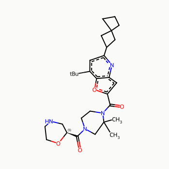 CC(C)(C)c1cc(C2CC3(CCC3)C2)nc2cc(C(=O)N3CCN(C(=O)[C@@H]4CNCCO4)CC3(C)C)oc12